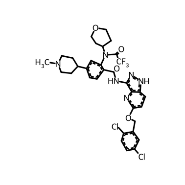 CN1CCC(c2ccc(C(=O)Nc3n[nH]c4ccc(OCc5cc(Cl)ccc5Cl)nc34)c(N(C(=O)C(F)(F)F)C3CCOCC3)c2)CC1